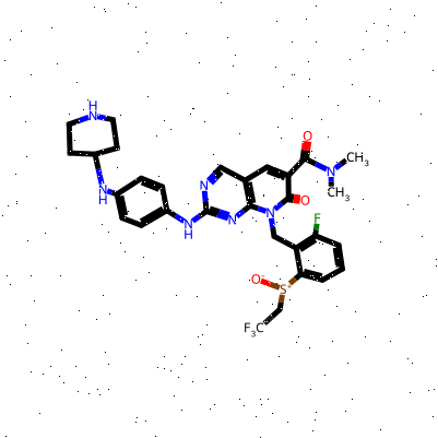 CN(C)C(=O)c1cc2cnc(Nc3ccc(NC4CCNCC4)cc3)nc2n(Cc2c(F)cccc2[S+]([O-])CC(F)(F)F)c1=O